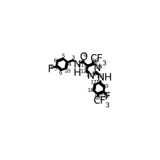 O=C(NCc1ccc(F)cc1)c1cnc(Nc2ccc(C(F)(F)F)c(F)c2)nc1C(F)(F)F